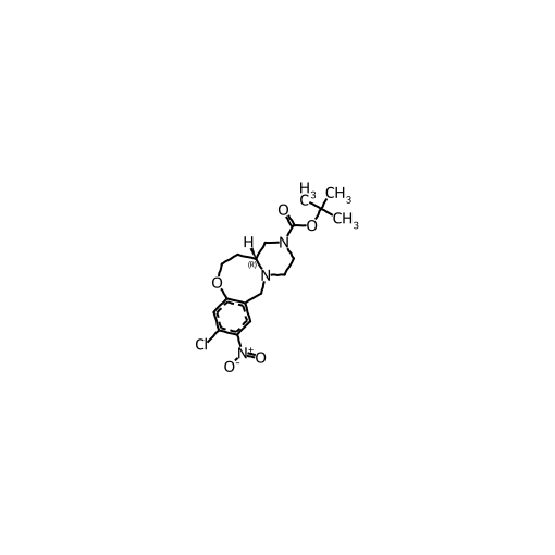 CC(C)(C)OC(=O)N1CCN2Cc3cc([N+](=O)[O-])c(Cl)cc3OCC[C@@H]2C1